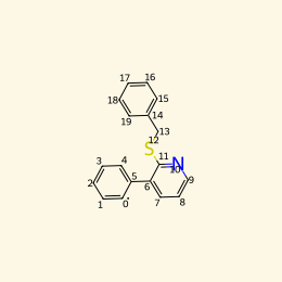 [c]1ccccc1-c1cccnc1SCc1ccccc1